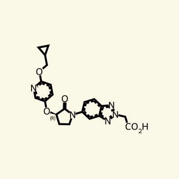 O=C(O)Cn1nc2ccc(N3CC[C@@H](Oc4ccc(OCC5CC5)nc4)C3=O)cc2n1